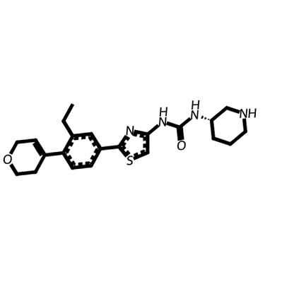 CCc1cc(-c2nc(NC(=O)N[C@H]3CCCNC3)cs2)ccc1C1=CCOCC1